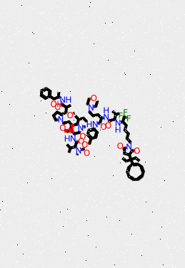 CCC(C)C(C(CC(=O)N1CCCC1C(OC)C(C)C(=O)NC(C)C(O)c1ccccc1)OC)N(C)C(=O)C(NC(=O)C(C(C)C)N(C)C(=O)OCc1ccc(NC(=O)C(CCCN2CCOCC2)NC(=O)C(NC(CCCCCN2C(=O)CC(C(CC)(CC)c3ccccccccc3)C2=O)C(F)(F)F)C(C)C)cc1)C(C)C